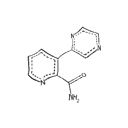 NC(=O)c1ncccc1-c1cnccn1